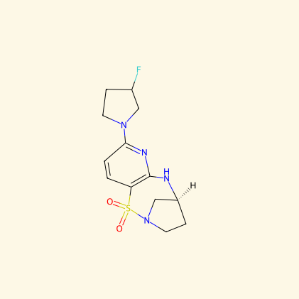 O=S1(=O)c2ccc(N3CCC(F)C3)nc2N[C@H]2CCN1C2